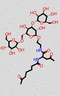 CC(=O)CCCCC(=O)NC(CC(C)=O)C(=O)NCCO[C@H]1O[C@H](CO[C@H]2O[C@H](CO)[C@@H](O)[C@@H](O)[C@@H]2O)[C@@H](O)[C@H](O[C@H]2O[C@H](CO)[C@@H](O)[C@H](O)[C@@H]2O)[C@@H]1O